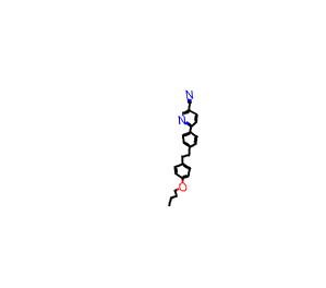 CCCCOc1ccc(CCc2ccc(-c3ccc(C#N)cn3)cc2)cc1